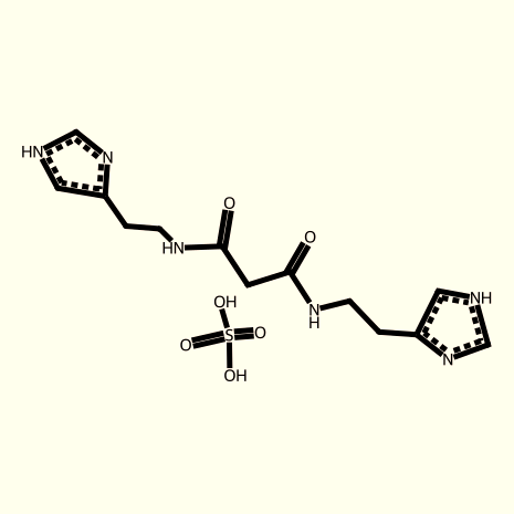 O=C(CC(=O)NCCc1c[nH]cn1)NCCc1c[nH]cn1.O=S(=O)(O)O